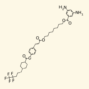 Nc1cc(N)cc(C(=O)OCCCCCCCCOC(=O)/C=C/c2ccc(OC(=O)C3CCC(CCCC(F)(F)C(F)(F)F)CC3)cc2)c1